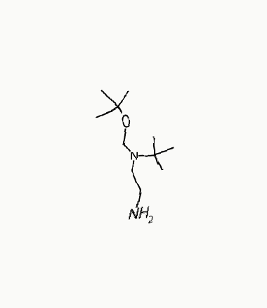 CC(C)(C)OCN(CCN)C(C)(C)C